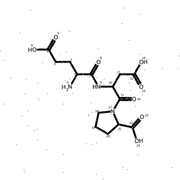 NC(CCC(=O)O)C(=O)NC(CC(=O)O)C(=O)N1CCCC1C(=O)O